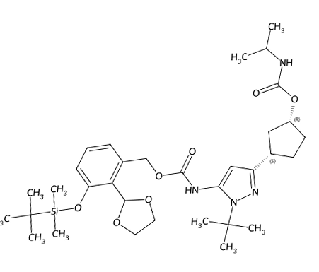 CC(C)NC(=O)O[C@@H]1CC[C@H](c2cc(NC(=O)OCc3cccc(O[Si](C)(C)C(C)(C)C)c3C3OCCO3)n(C(C)(C)C)n2)C1